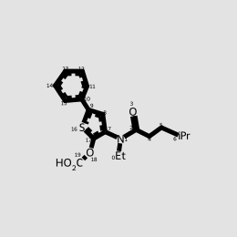 CCN(C(=O)CCC(C)C)c1cc(-c2ccccc2)sc1OC(=O)O